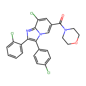 O=C(c1cc(Cl)c2nc(-c3ccccc3Cl)c(-c3ccc(Cl)cc3)n2c1)N1CCOCC1